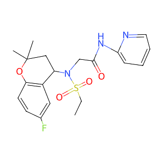 CCS(=O)(=O)N(CC(=O)Nc1ccccn1)C1CC(C)(C)Oc2ccc(F)cc21